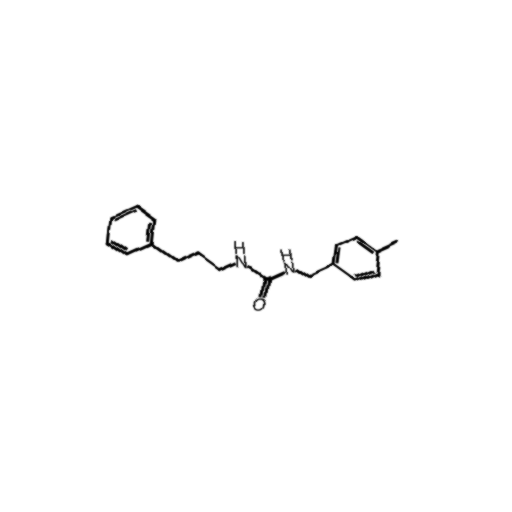 Cc1ccc(CNC(=O)NCCCc2ccccc2)cc1